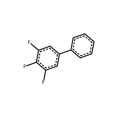 Fc1cc(-c2ccccc2)cc(F)c1F